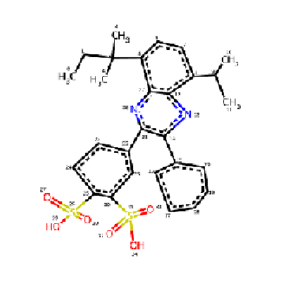 CCC(C)(C)c1ccc(C(C)C)c2nc(-c3ccccc3)c(-c3ccc(S(=O)(=O)O)c(S(=O)(=O)O)c3)nc12